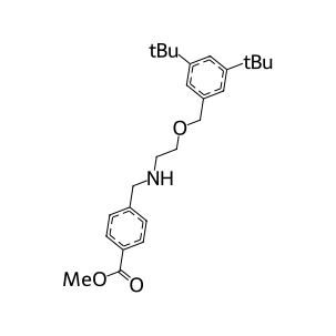 COC(=O)c1ccc(CNCCOCc2cc(C(C)(C)C)cc(C(C)(C)C)c2)cc1